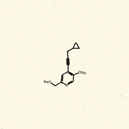 COCc1cc(C#CCC2CC2)c(OC)cn1